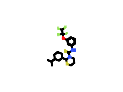 CC(C)C1CCCC(C2SCCCN2C(=S)Nc2cccc(OC(F)(F)C(F)F)c2)C1